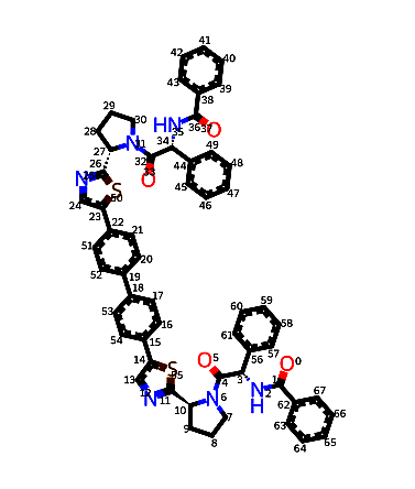 O=C(N[C@H](C(=O)N1CCC[C@H]1c1ncc(-c2ccc(-c3ccc(-c4cnc([C@@H]5CCCN5C(=O)[C@H](NC(=O)c5ccccc5)c5ccccc5)s4)cc3)cc2)s1)c1ccccc1)c1ccccc1